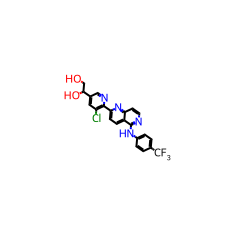 OCC(O)c1cnc(-c2ccc3c(Nc4ccc(C(F)(F)F)cc4)nccc3n2)c(Cl)c1